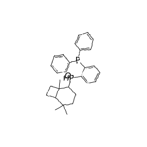 CC1(C)CCC([PH](=O)c2ccccc2P(c2ccccc2)c2ccccc2)C2(C)CCC12